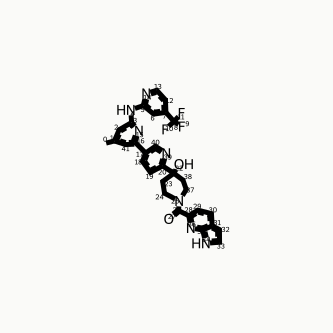 Cc1cc(Nc2cc(C(F)(F)F)ccn2)nc(-c2ccc(C3(O)CCN(C(=O)c4ccc5cc[nH]c5n4)CC3)nc2)c1